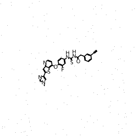 C#Cc1cccc(CC(=O)NC(=S)Nc2ccc(Oc3ccnc4cc(-c5cn(C)cn5)sc34)c(F)c2)c1